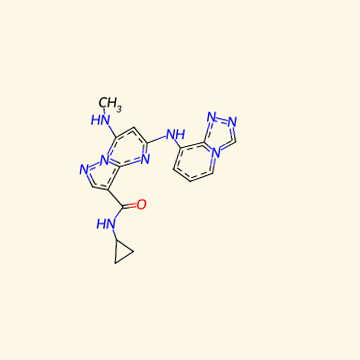 CNc1cc(Nc2cccn3cnnc23)nc2c(C(=O)NC3CC3)cnn12